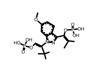 COc1ccc2c(C(OP(=O)(O)O)=C(C)C)nn(C(=COP(=O)(O)O)C(C)(C)C)c2c1